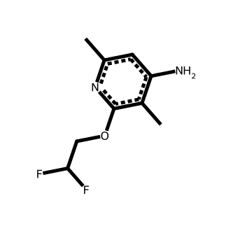 Cc1cc(N)c(C)c(OCC(F)F)n1